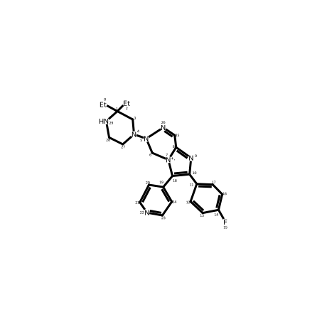 CCC1(CC)CN(N2C[N+]3C(=NC(c4ccc(F)cc4)=C3c3ccncc3)C=N2)CCN1